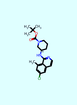 Cc1cc(Cl)cc2ccnc(N[C@@H]3CCCN(C(=O)OC(C)(C)C)C3)c12